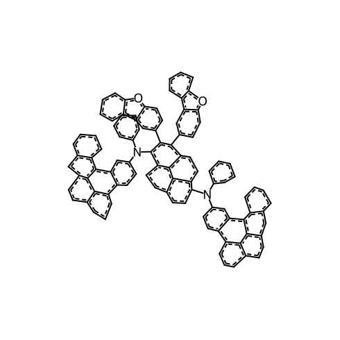 c1ccc(N(c2ccc3c4cccc5ccc6cc7ccccc7c(c3c2)c6c54)c2ccc3ccc4c(N(c5ccccc5)c5ccc6c7cccc8ccc9cc%10ccccc%10c(c6c5)c9c87)c(-c5ccc6oc7ccccc7c6c5)c(-c5ccc6oc7ccccc7c6c5)c5ccc2c3c54)cc1